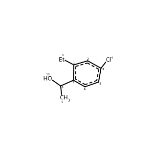 CCc1cc(Cl)ccc1C(C)O